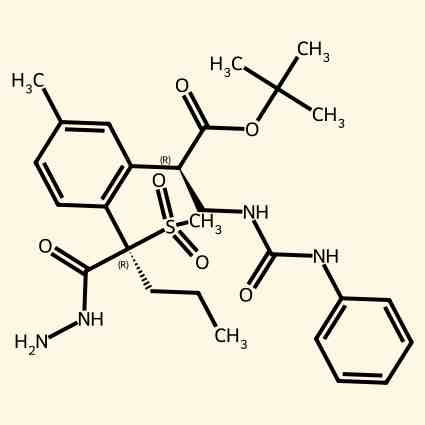 CCC[C@](C(=O)NN)(c1ccc(C)cc1[C@H](CNC(=O)Nc1ccccc1)C(=O)OC(C)(C)C)S(C)(=O)=O